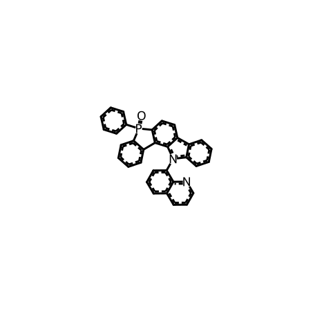 O=P1(c2ccccc2)c2ccccc2-c2c1ccc1c3ccccc3n(-c3cccc4cccnc34)c21